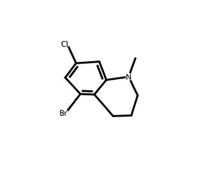 CN1CCCc2c(Br)cc(Cl)cc21